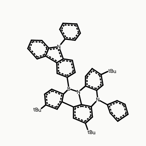 CC(C)(C)c1ccc2c(c1)-c1cc(C(C)(C)C)cc3c1N(B2c1ccc2c(c1)c1ccccc1n2-c1ccccc1)c1ccc(C(C)(C)C)cc1N3c1ccccc1